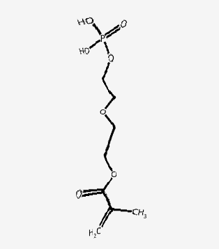 C=C(C)C(=O)OCCOCCOP(=O)(O)O